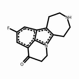 O=C1CCn2c3c(c4cc(F)cc1c42)CCNCC3